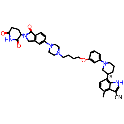 Cc1ccc([C@@H]2CCCN(c3cccc(OCCCCN4CCN(c5ccc6c(c5)CN(C5CCC(=O)NC5=O)C6=O)CC4)c3)C2)c2[nH]cc(C#N)c12